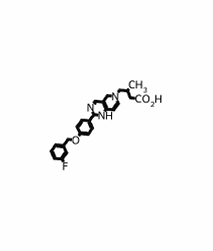 CC(CC(=O)O)CN1C=CC2=C(C=NC(c3ccc(OCc4cccc(F)c4)cc3)N2)C1